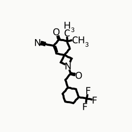 CC1(C)CC2(C=C(C#N)C1=O)CN(C(=O)CC1CCCC(C(F)(F)F)C1)C2